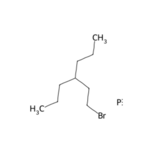 CCCC(CCC)CCBr.[P]